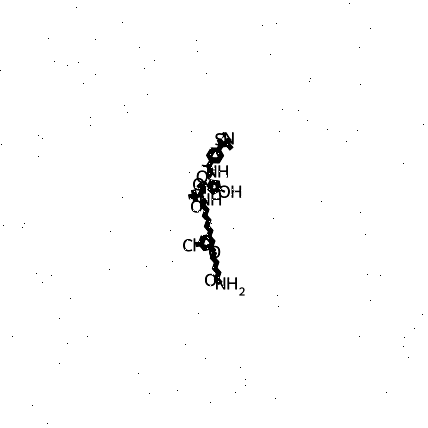 Cc1ncsc1-c1ccc([C@H](C)NC(=O)[C@@H]2C[C@@H](O)CN2C(=O)[C@@H](NC(=O)CCCCCc2cc(Cl)cc(OCCCCC(N)=O)c2)C(C)(C)C)cc1